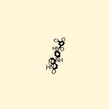 O=C(Nc1ccc(Nc2ccnc3[nH]c(=O)ccc23)cc1)c1ccc(Cl)c(Cl)c1